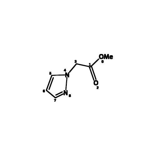 COC(=O)Cn1cccn1